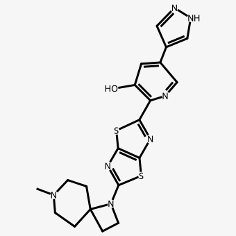 CN1CCC2(CC1)CCN2c1nc2sc(-c3ncc(-c4cn[nH]c4)cc3O)nc2s1